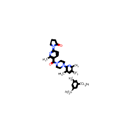 Cc1cc(C(=O)O)cc(C(=O)O)c1.Cc1cc(C)c(N2CCN(C(=O)c3ccc(N4CCCC4=O)nc3C)CC2)nc1C